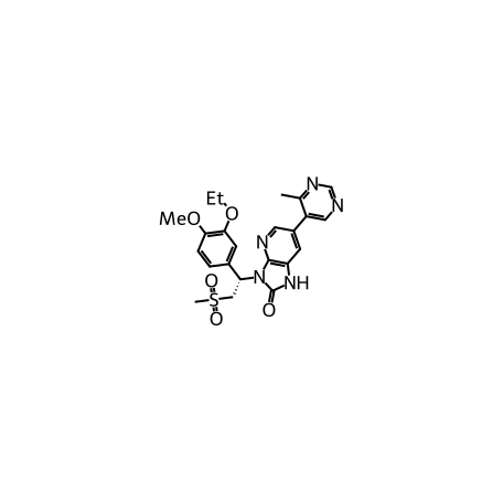 CCOc1cc([C@@H](CS(C)(=O)=O)n2c(=O)[nH]c3cc(-c4cncnc4C)cnc32)ccc1OC